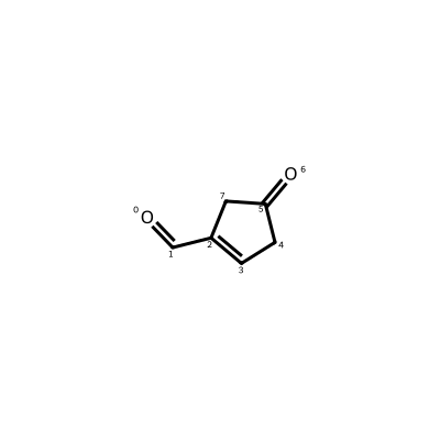 O=CC1=CCC(=O)C1